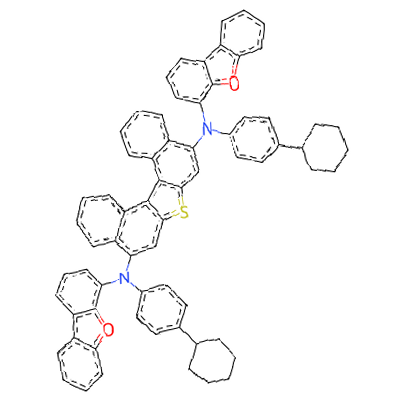 c1ccc2c(c1)oc1c(N(c3ccc(C4CCCCC4)cc3)c3cc4sc5cc(N(c6ccc(C7CCCCC7)cc6)c6cccc7c6oc6ccccc67)c6ccccc6c5c4c4ccccc34)cccc12